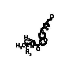 CC(C)(C)c1nc(C(=O)N2CCOC3(CCN(Cc4cc(CC=O)cs4)CC3)C2)cs1